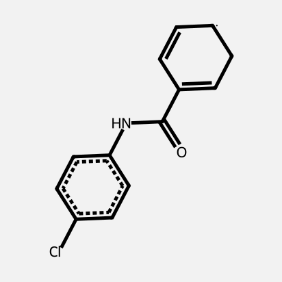 O=C(Nc1ccc(Cl)cc1)C1=CC[CH]C=C1